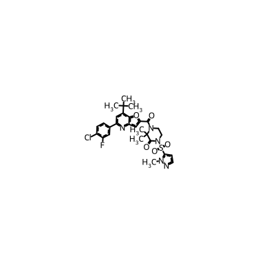 Cn1nccc1S(=O)(=O)N1CCN(C(=O)c2cc3nc(-c4ccc(Cl)c(F)c4)cc(C(C)(C)C)c3o2)C(C)(C)C1=O